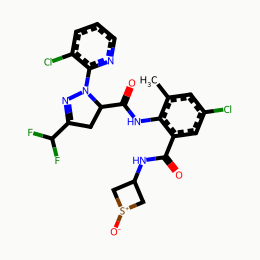 Cc1cc(Cl)cc(C(=O)NC2C[S+]([O-])C2)c1NC(=O)C1CC(C(F)F)=NN1c1ncccc1Cl